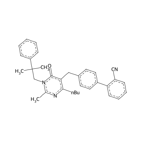 CCCCc1nc(C)n(CC(C)(C)c2ccccc2)c(=O)c1Cc1ccc(-c2ccccc2C#N)cc1